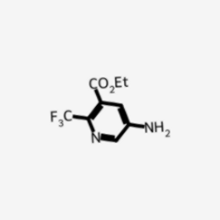 CCOC(=O)c1cc(N)cnc1C(F)(F)F